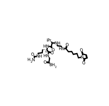 BC(=O)CNC(=O)[C@H](CCCNC(N)=O)NC(=O)C(NCCNC(=O)CCCCCN1C(=O)C=CC1=O)C(C)C